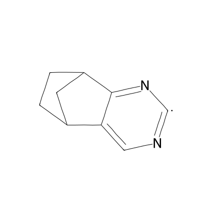 [c]1ncc2c(n1)C1CCC2C1